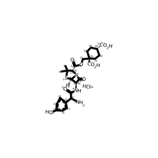 CC1(C)S[C@@H]2[C@H](NC(=O)C(N)c3ccc(O)cc3)C(=O)N2[C@H]1C(=O)OC[C@]1(C(=O)O)CC[C@H](C(=O)O)CC1.Cl